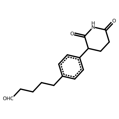 O=CCCCCc1ccc(C2CCC(=O)NC2=O)cc1